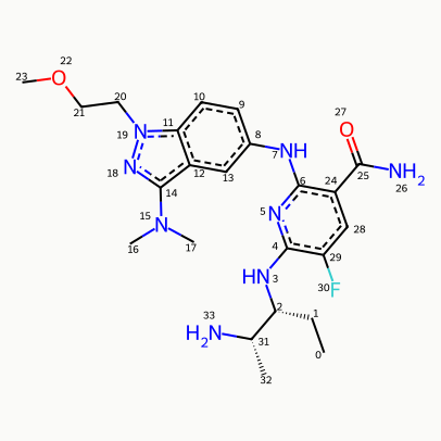 CC[C@@H](Nc1nc(Nc2ccc3c(c2)c(N(C)C)nn3CCOC)c(C(N)=O)cc1F)[C@H](C)N